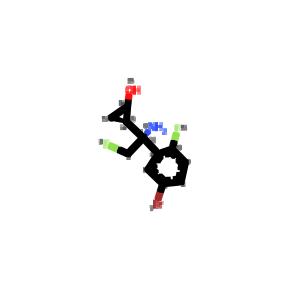 N[C@](CF)(c1cc(Br)ccc1F)[C@H]1CC1O